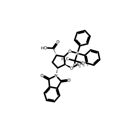 CO[C@@H]1C(O[Si](c2ccccc2)(c2ccccc2)C(C)(C)C)[C@@H](C(=O)O)C[C@H]1N1C(=O)c2ccccc2C1=O